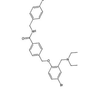 CCN(CC)Cc1cc(Br)ccc1OCc1ccc(C(=O)NCc2ccc(OC)cc2)cc1